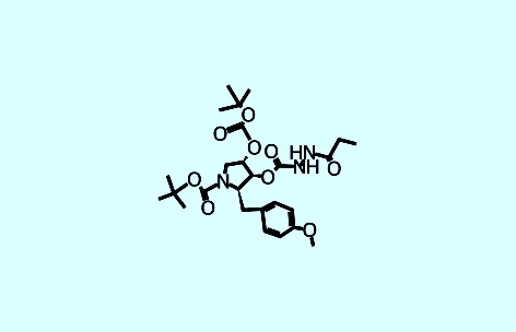 CCC(=O)NNC(=O)O[C@@H]1[C@@H](OC(=O)OC(C)(C)C)CN(C(=O)OC(C)(C)C)[C@@H]1Cc1ccc(OC)cc1